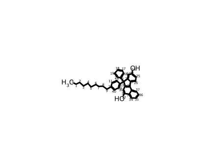 CCCCCCCCCCc1ccc(C2(c3ccccc3)c3cc(O)ccc3-c3c2cc(O)c2ccccc32)cc1